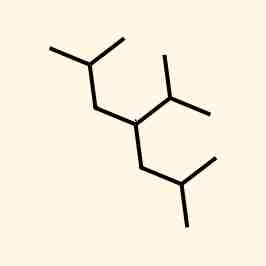 CC(C)C[C](CC(C)C)C(C)C